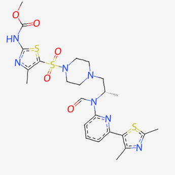 COC(=O)Nc1nc(C)c(S(=O)(=O)N2CCN(C[C@H](C)N(C=O)c3cccc(-c4sc(C)nc4C)n3)CC2)s1